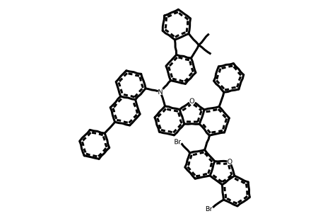 CC1(C)c2ccccc2-c2cc(N(c3cccc4cc(-c5ccccc5)ccc34)c3cccc4c3oc3c(-c5ccccc5)ccc(-c5c(Br)ccc6c5oc5cccc(Br)c56)c34)ccc21